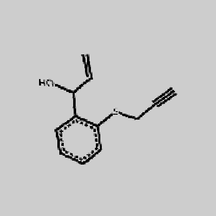 C#CCSc1ccccc1C(O)C=C